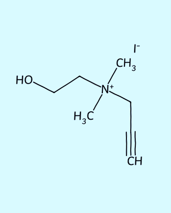 C#CC[N+](C)(C)CCO.[I-]